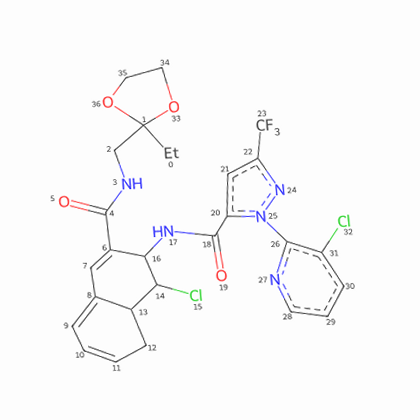 CCC1(CNC(=O)C2=CC3=CC=CCC3C(Cl)C2NC(=O)c2cc(C(F)(F)F)nn2-c2ncccc2Cl)OCCO1